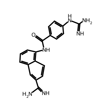 N=C(N)Nc1ccc(C(=O)Nc2cccc3cc(C(=N)N)ccc23)cc1